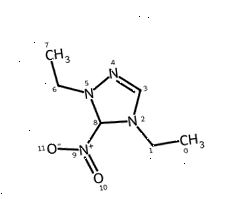 CCN1C=NN(CC)C1[N+](=O)[O-]